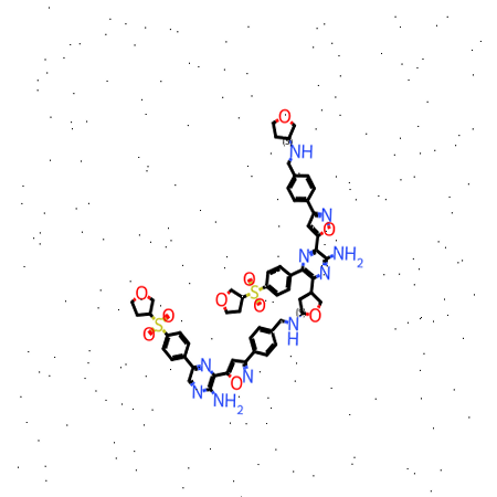 Nc1ncc(-c2ccc(S(=O)(=O)C3CCOC3)cc2)nc1-c1cc(-c2ccc(CN[C@@H]3CC(c4nc(N)c(-c5cc(-c6ccc(CN[C@H]7CCOC7)cc6)no5)nc4-c4ccc(S(=O)(=O)C5CCOC5)cc4)CO3)cc2)no1